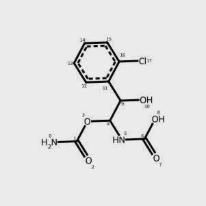 NC(=O)OC(NC(=O)O)C(O)c1ccccc1Cl